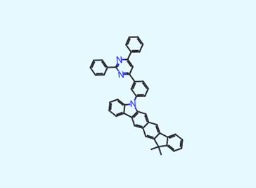 CC1(C)c2ccccc2-c2cc3cc4c(cc3cc21)c1ccccc1n4-c1cccc(-c2cc(-c3ccccc3)nc(-c3ccccc3)n2)c1